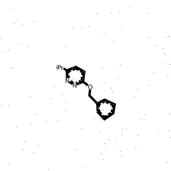 CC(C)c1ccc(OCc2ccccc2)nn1